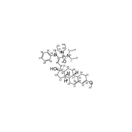 CCN(CC)P(=O)(/C(=C\C[C@@]1(O)CC[C@H]2[C@@H]3CC=C4C=C(OC)CC[C@]4(C)[C@H]3CC[C@@]21C)N(C)c1ccccc1)N(CC)CC